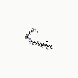 CCCCC[C@H]1O[C@H]1C/C=C\CCCCCCCC(=O)NSNC(=O)CCl